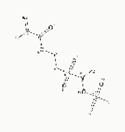 C=C(C)C(=O)OCCS(=O)(=O)N(C)OS(C)(=O)=O